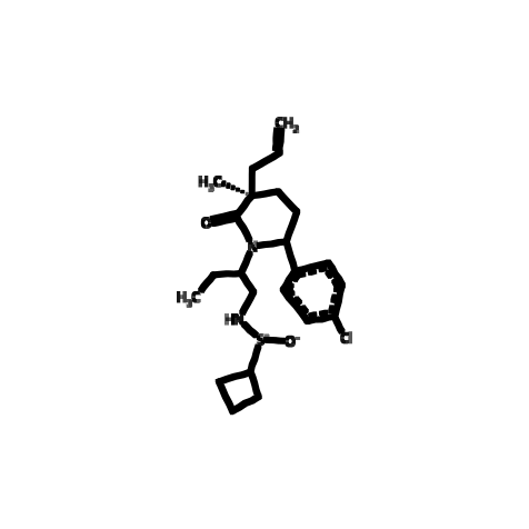 C=CC[C@@]1(C)CCC(c2ccc(Cl)cc2)N(C(CC)CN[S+]([O-])C2CCC2)C1=O